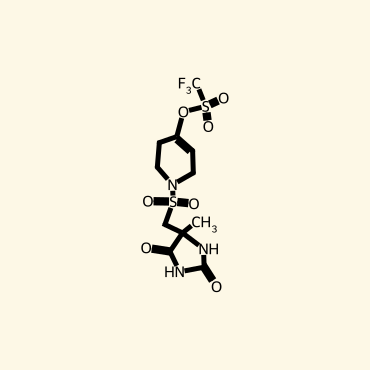 CC1(CS(=O)(=O)N2CC=C(OS(=O)(=O)C(F)(F)F)CC2)NC(=O)NC1=O